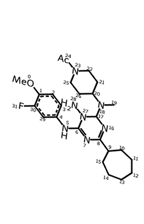 COc1ccc(NC2=NC(C3CCCCCC3)=NC(N(C)C3CCN(C(C)=O)CC3)N2N)cc1F